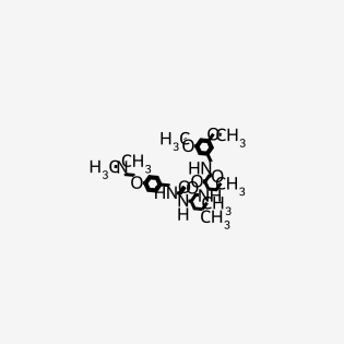 CCC(NC(=O)C(CC(C)C)NC(=O)NCc1ccc(OCCN(C)C)cc1)C(=O)C(=O)NCc1cc(OC)cc(OC)c1